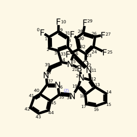 Fc1cc2c3n4c(c2cc1F)=Nc1c2ccccc2c(n1B4Oc1c(F)c(F)c(F)c(F)c1F)/N=C1\N=C(N=C=3)c2ccccc21